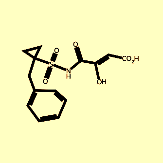 O=C(O)C=C(O)C(=O)NS(=O)(=O)C1(Cc2ccccc2)CC1